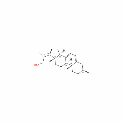 C[C@H]1CC[C@@]2(C)C(=CC=C3[C@@H]4CC[C@H]([C@@H](C)CO)[C@@]4(C)CC[C@@H]32)C1